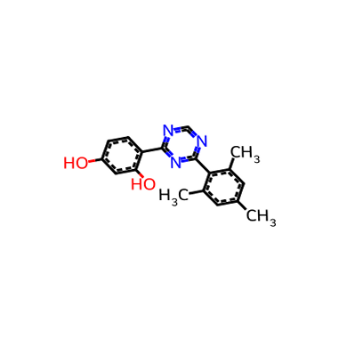 Cc1cc(C)c(-c2ncnc(-c3ccc(O)cc3O)n2)c(C)c1